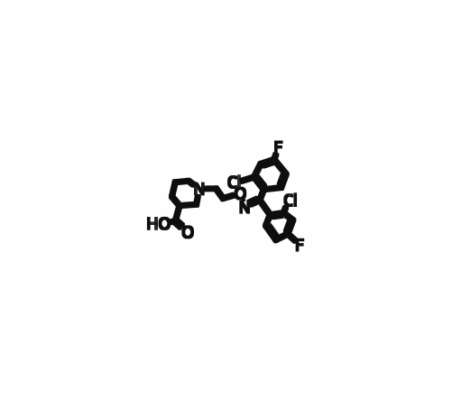 O=C(O)C1CCCN(CCON=C(c2ccc(F)cc2Cl)c2ccc(F)cc2Cl)C1